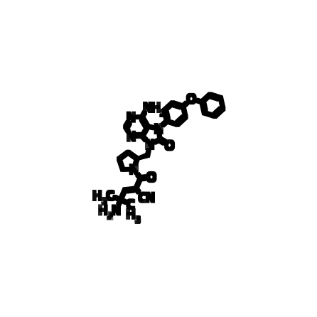 CC(C)(N)C=C(C#N)C(=O)N1CCC[C@H]1Cn1c(=O)n(-c2ccc(Oc3ccccc3)cc2)c2c(N)ncnc21